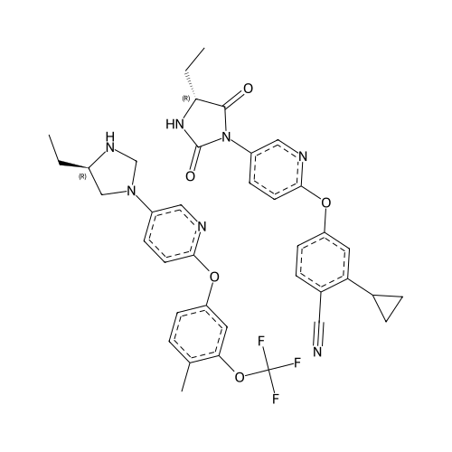 CC[C@@H]1CN(c2ccc(Oc3ccc(C)c(OC(F)(F)F)c3)nc2)CN1.CC[C@H]1NC(=O)N(c2ccc(Oc3ccc(C#N)c(C4CC4)c3)nc2)C1=O